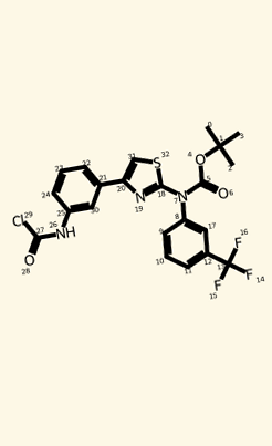 CC(C)(C)OC(=O)N(c1cccc(C(F)(F)F)c1)c1nc(-c2cccc(NC(=O)Cl)c2)cs1